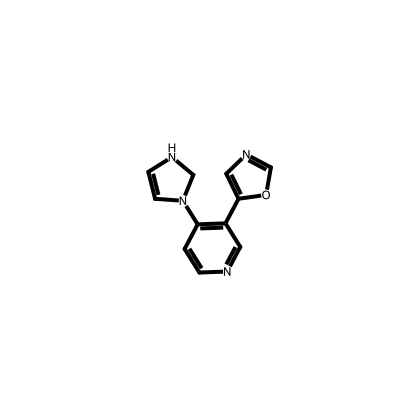 C1=CN(c2ccncc2-c2cnco2)CN1